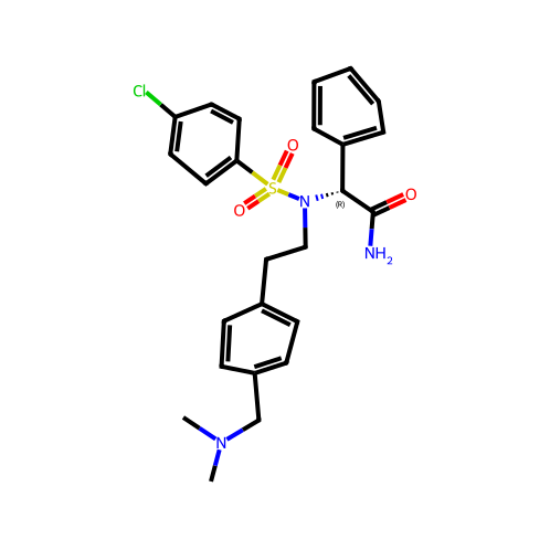 CN(C)Cc1ccc(CCN([C@@H](C(N)=O)c2ccccc2)S(=O)(=O)c2ccc(Cl)cc2)cc1